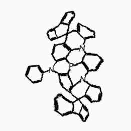 c1ccc(N2c3ccc4c5c3P3c6c(cccc6N6c7ccccc7C7(c8ccccc8-c8ccccc87)c7ccc2c3c76)N5c2ccccc2C42c3ccccc3-c3ccccc32)cc1